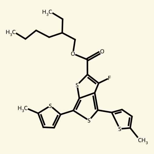 CCCCC(CC)COC(=O)c1sc2c(-c3ccc(C)s3)sc(-c3ccc(C)s3)c2c1F